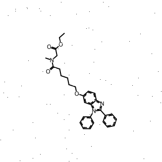 CCOC(=O)CN(C)C(=O)CCCCCOc1ccc2nc(-c3ccccc3)n(-c3ccccc3)c2c1